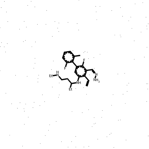 C=Cc1c(NC(CC)CCNCC)cc(-c2c(C)cccc2F)c(F)c1/C=N\N